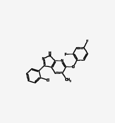 Cc1cc2c(-c3ccccc3Cl)n[nH]c2nc1Oc1ccc(F)cc1F